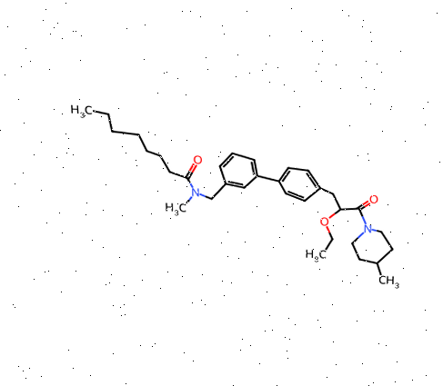 CCCCCCCC(=O)N(C)Cc1cccc(-c2ccc(CC(OCC)C(=O)N3CCC(C)CC3)cc2)c1